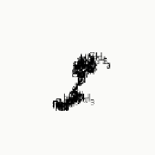 CCN(CCCCCOc1cccc(C(=O)c2csc([C@@H]3CCCN3C(=O)[C@@H](NC(=O)[C@H](C)NC)C3CCCCC3)n2)c1)C[C@@H](C)NC(=O)c1ccc(-c2noc(C(F)(F)F)n2)cc1